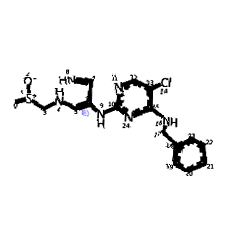 C[S+]([O-])CN/C=C(\C=N)Nc1ncc(Cl)c(NCc2ccccc2)n1